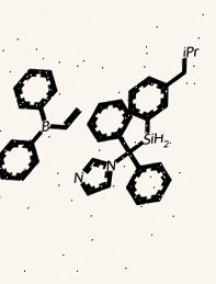 C=CB(c1ccccc1)c1ccccc1.CC(C)Cc1cccc([SiH2]C(c2ccccc2)(c2ccccc2)n2ccnc2)c1